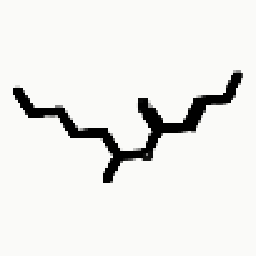 CCC=CC(=O)OC(C)CCCCC